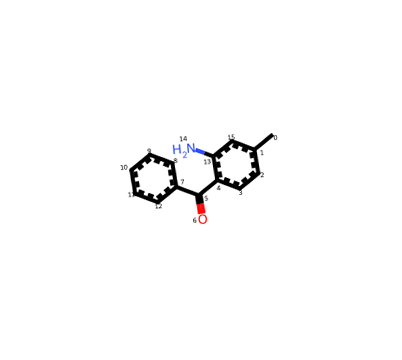 Cc1ccc(C(=O)c2ccccc2)c(N)c1